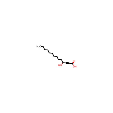 CCCCCCCCCCC(O)C#CC(=O)O